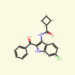 O=C(c1ccccc1)c1[nH]c2cc(Cl)ccc2c1NC(=O)C1CCC1